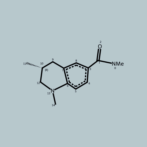 CNC(=O)c1ccc2c(c1)C[C@@H](C)CN2C